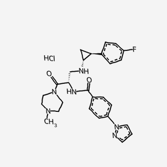 CN1CCN(C(=O)[C@H](CN[C@@H]2C[C@H]2c2ccc(F)cc2)NC(=O)c2ccc(-n3cccn3)cc2)CC1.Cl